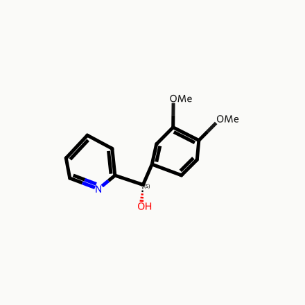 COc1ccc([C@H](O)c2ccccn2)cc1OC